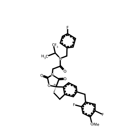 COc1cc(F)c(Cc2ccc3c(c2)CC[C@@]32OC(=O)N(CC(=O)N(Cc3ccc(F)cc3)C(C)C(F)(F)F)C2=O)cc1F